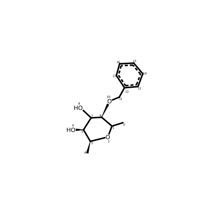 CC1O[C@@H](C)[C@@H](O)C(O)[C@H]1OCc1ccccc1